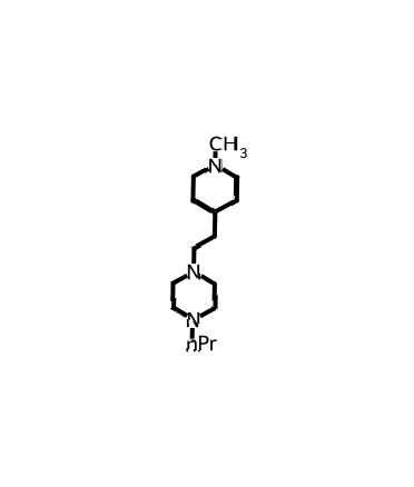 CCCN1CCN(CCC2CCN(C)CC2)CC1